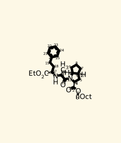 CCCCCCCCOC(=O)[C@@H]1C[C@@H]2CCC[C@@H]2N1C(=O)[C@@H](C)N[C@@H](CCc1ccccc1)C(=O)OCC